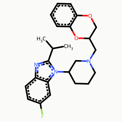 CC(C)c1nc2ccc(F)cc2n1C1CCCN(CC2COc3ccccc3O2)C1